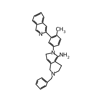 Cc1ccc(N2CC=C3CN(Cc4ccccc4)CCC3=C2N)cc1-c1cc2ccccc2cn1